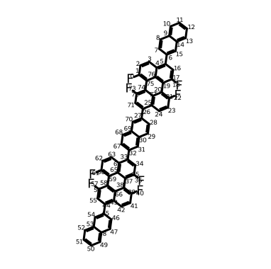 Fc1ccc2c(-c3ccc4ccccc4c3)cc(F)c3c4c(F)ccc5c(-c6ccc7cc(-c8cc(F)c9c%10c(F)ccc%11c(-c%12ccc%13ccccc%13c%12)cc(F)c(c%12c(F)ccc8c%129)c%11%10)ccc7c6)cc(F)c(c1c23)c54